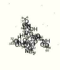 CN(C(=O)OC(C)(C)C)[C@@H]1[C@@H](O)[C@@H](O[C@@H]2[C@@H](O)[C@H](O[C@H]3OC(CN)=CC[C@H]3NC(=O)OC(C)(C)C)[C@@H](NC(=O)OC(C)(C)C)C[C@H]2NC(=O)C2(O)CC(NC(=O)OC(C)(C)C)C2)OC[C@]1(C)O